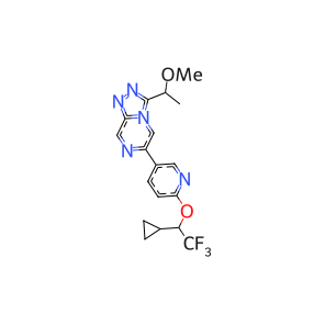 COC(C)c1nnc2cnc(-c3ccc(OC(C4CC4)C(F)(F)F)nc3)cn12